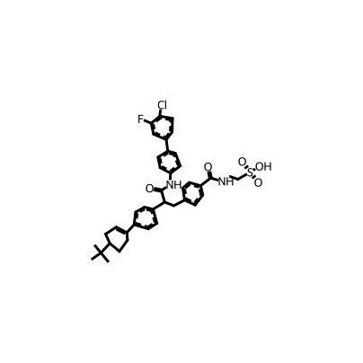 CC(C)(C)C1CC=C(c2ccc(C(Cc3ccc(C(=O)NCCS(=O)(=O)O)cc3)C(=O)Nc3ccc(-c4ccc(Cl)c(F)c4)cc3)cc2)CC1